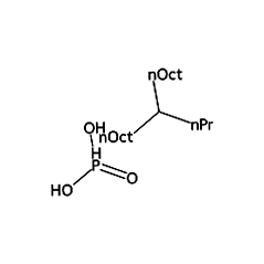 CCCCCCCCC(CCC)CCCCCCCC.O=[PH](O)O